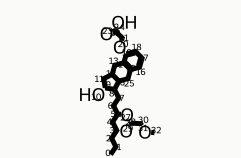 CCCCCC(CCC1C(O)CC2Cc3c(cccc3OCC(=O)O)CC21)OC(=O)COC